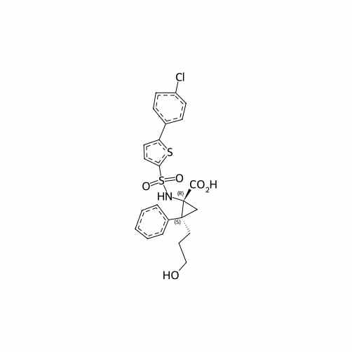 O=C(O)[C@@]1(NS(=O)(=O)c2ccc(-c3ccc(Cl)cc3)s2)C[C@@]1(CCCO)c1ccccc1